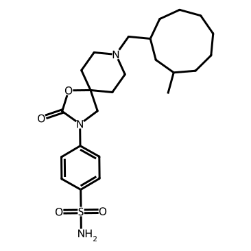 CC1CCCCCCC(CN2CCC3(CC2)CN(c2ccc(S(N)(=O)=O)cc2)C(=O)O3)C1